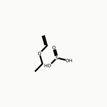 C=COCC.O=S(O)O